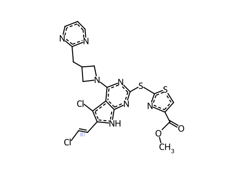 COC(=O)c1csc(Sc2nc(N3CC(Cc4ncccn4)C3)c3c(Cl)c(/C=C/Cl)[nH]c3n2)n1